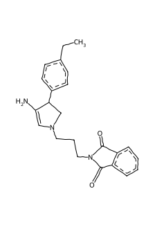 CCc1ccc(C2CN(CCCN3C(=O)c4ccccc4C3=O)C=C2N)cc1